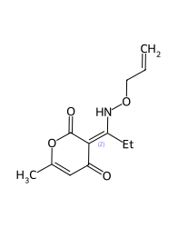 C=CCON/C(CC)=C1/C(=O)C=C(C)OC1=O